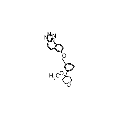 COC1(c2cccc(COc3ccc4c(ccc5nnnn54)c3)c2)CCOCC1